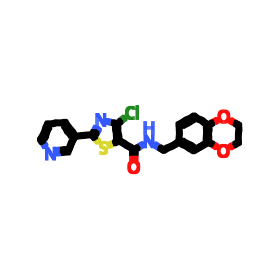 O=C(NCc1ccc2c(c1)OCCO2)c1sc(-c2cccnc2)nc1Cl